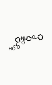 O=C(CO)c1cccc(NC(=O)c2ccc(OCc3ccccc3)cc2)c1